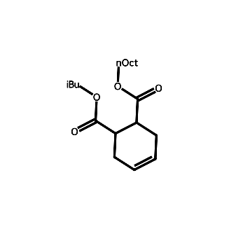 CCCCCCCCOC(=O)C1CC=CCC1C(=O)OC(C)CC